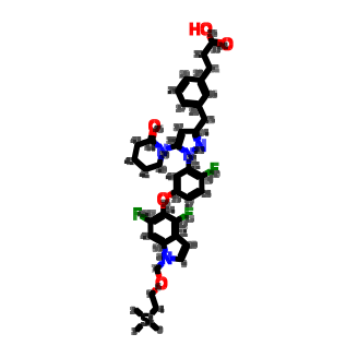 C[Si](C)(C)CCOCn1ccc2c(F)c(Oc3ccc(F)c(-n4nc(Cc5cccc(CCC(=O)O)c5)cc4N4CCCCC4=O)c3)c(F)cc21